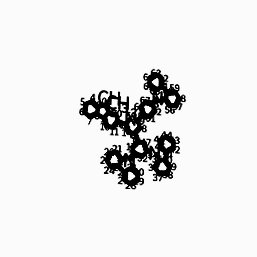 CC1(C)c2ccccc2-c2ccc(-c3cc(-c4cc(-n5c6ccccc6c6ccccc65)cc(-n5c6ccccc6c6ccccc65)c4)cc(-c4ccc(-n5c6ccccc6c6ccccc65)cc4)n3)cc21